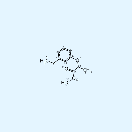 CCc1cccc(OC(C)C(=O)OC)c1